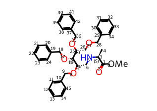 COC(=O)[C@H](C)NC[C@H](OCc1ccccc1)[C@H](OCc1ccccc1)[C@@H](COCc1ccccc1)OCc1ccccc1